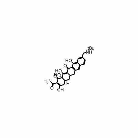 CC(C)(C)NCc1ccc2cc3c(c(O)c2c1)C(=O)C1=C(O)[C@]2(O)C(=O)C(C(N)=O)=C(O)C[C@@H]2CC1C3